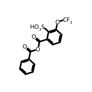 O=C(OC(=O)c1cccc(OC(F)(F)F)c1S(=O)(=O)O)c1ccccc1